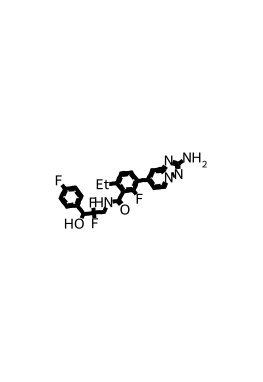 CCc1ccc(-c2ccn3nc(N)nc3c2)c(F)c1C(=O)NCC(F)(F)C(O)c1ccc(F)cc1